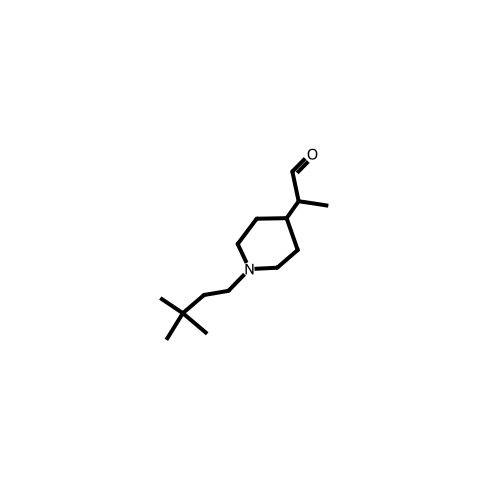 CC(C=O)C1CCN(CCC(C)(C)C)CC1